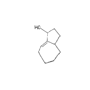 OC1CCC2CCCCC=C12